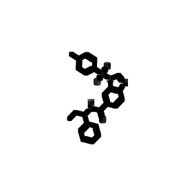 CCC(NC(=O)c1ccc2ncn(S(=O)(=O)c3ccc(C)cc3)c2c1)c1ccccc1